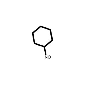 O=NC1CCCCC1